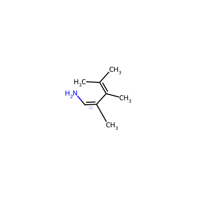 CC(C)=C(C)/C(C)=C\N